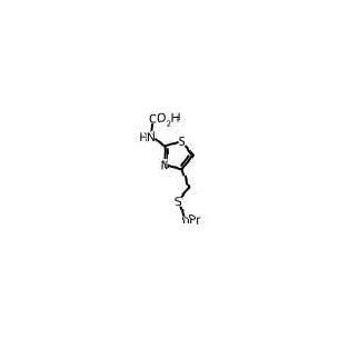 CCCSCc1csc(NC(=O)O)n1